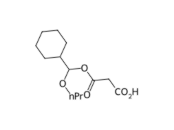 CCCOC(OC(=O)CC(=O)O)C1CCCCC1